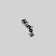 CS(=O)(=O)NCc1ccc(-c2nc3nc(O[C@@H]4CO[C@@H]5CCO[C@@H]54)[nH]c3cc2Cl)cc1